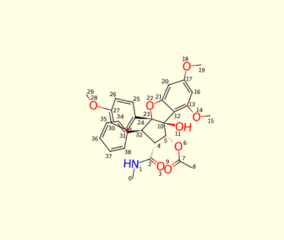 CNC(=O)[C@H]1[C@@H](OC(C)=O)[C@@]2(O)c3c(OC)cc(OC)cc3O[C@@]2(c2ccc(OC)cc2)[C@@H]1c1ccccc1